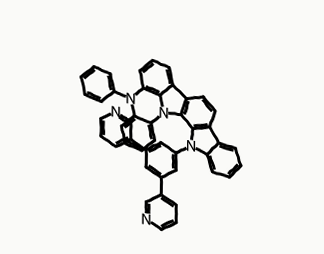 c1ccc(N2c3ccccc3-n3c4c2cccc4c2ccc4c5ccccc5n(-c5cc(-c6cccnc6)cc(-c6cccnc6)c5)c4c23)cc1